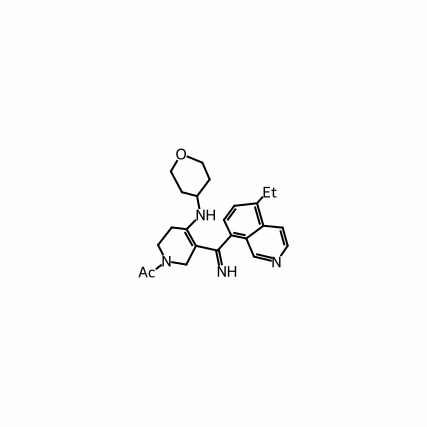 CCc1ccc(C(=N)C2=C(NC3CCOCC3)CCN(C(C)=O)C2)c2cnccc12